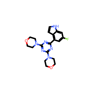 Fc1cc(-c2nc(N3CCOCC3)nc(N3CCOCC3)n2)c2cc[nH]c2c1